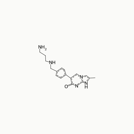 Cc1cn2cc(-c3ccc(CNCCCN)cc3)c(=O)nc2[nH]1